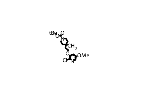 COc1cnc(Cl)c(OCCC2(C)CCN(C(=O)OC(C)(C)C)CC2)c1